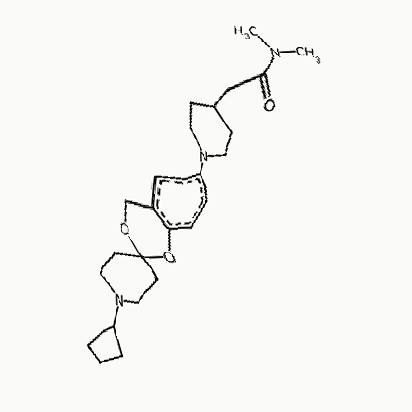 CN(C)C(=O)CC1CCN(c2ccc3c(c2)COC2(CCN(C4CCC4)CC2)O3)CC1